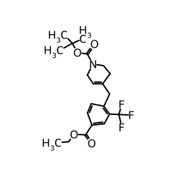 CCOC(=O)c1ccc(CC2=CCN(C(=O)OC(C)(C)C)CC2)c(C(F)(F)F)c1